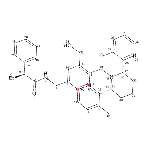 CC[C@H](C(=O)NCc1ccc(CN2[C@@H](c3ncccc3C)CCC[C@H]2c2ncccc2C)c(CO)c1)c1ccccc1